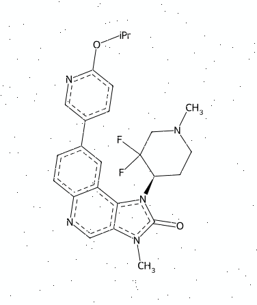 CC(C)Oc1ccc(-c2ccc3ncc4c(c3c2)n([C@@H]2CCN(C)CC2(F)F)c(=O)n4C)cn1